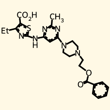 CCc1nc(Nc2cc(N3CCN(CCOC(=O)c4ccccc4)CC3)nc(C)n2)sc1C(=O)O